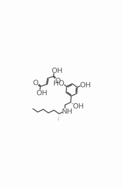 CCCCC[C@@H](C)NC[C@@H](O)c1cc(O)cc(O)c1.O=C(O)C=CC(=O)O